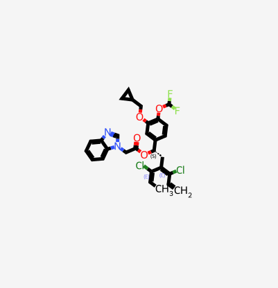 C=C/C(Cl)=C(C[C@H](OC(=O)Cn1cnc2ccccc21)c1ccc(OC(F)F)c(OCC2CC2)c1)\C(Cl)=C/C